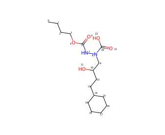 CCCCOC(=O)NN(CC(O)CCC1CCCCC1)C(=O)O